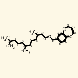 CC(C)CCCC(C)CCCC(C)CCOCc1ccc2c(c1)OCC=CO2